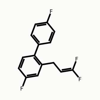 FC(F)=CCc1cc(F)ccc1-c1ccc(F)cc1